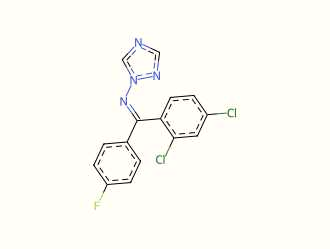 Fc1ccc(/C(=N/n2cncn2)c2ccc(Cl)cc2Cl)cc1